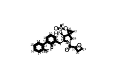 CS(=O)(=O)N[C@@H]1[C@H](Cc2cccc(-c3ccccc3F)c2F)N(C(=O)C2CCO2)CC12CC2